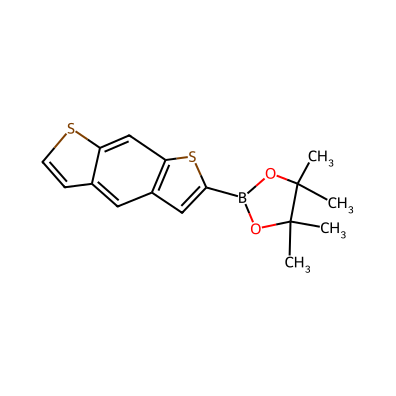 CC1(C)OB(c2cc3cc4ccsc4cc3s2)OC1(C)C